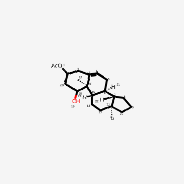 CC(=O)OC1CC2=CC[C@H]3[C@@H]4CCC[C@@]4(C)CC[C@@H]3[C@@]2(C)C(O)C1